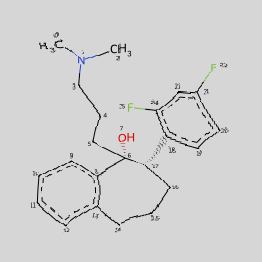 CN(C)CCC[C@]1(O)c2ccccc2CCC[C@H]1c1ccc(F)cc1F